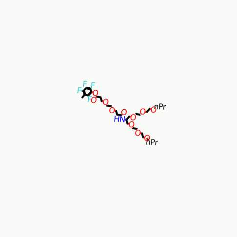 CCCOCCOCCOCC(COCCOCCOCCC)NC(=O)CCOCCOCCC(=O)Oc1c(F)c(C)c(F)c(F)c1F